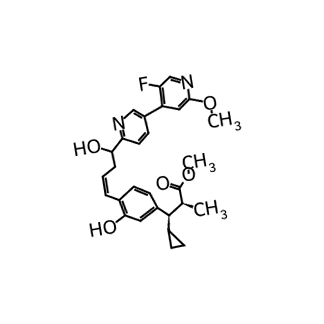 COC(=O)[C@@H](C)[C@H](c1ccc(/C=C\CC(O)c2ccc(-c3cc(OC)ncc3F)cn2)c(O)c1)C1CC1